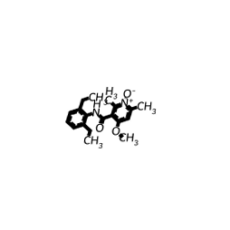 CCc1cccc(CC)c1NC(=O)c1c(OC)cc(C)[n+]([O-])c1C